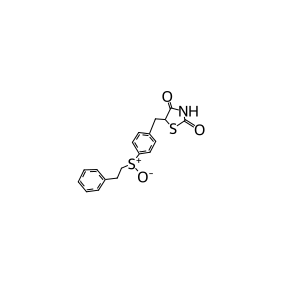 O=C1NC(=O)C(Cc2ccc([S+]([O-])CCc3ccccc3)cc2)S1